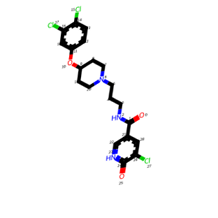 O=C(NCCCN1CCC(Oc2ccc(Cl)c(Cl)c2)CC1)c1c[nH]c(=O)c(Cl)c1